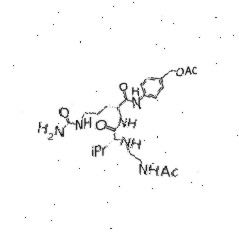 CC(=O)NCCN[C@@H](C(=O)N[C@H](CCCNC(N)=O)C(=O)Nc1ccc(COC(C)=O)cc1)C(C)C